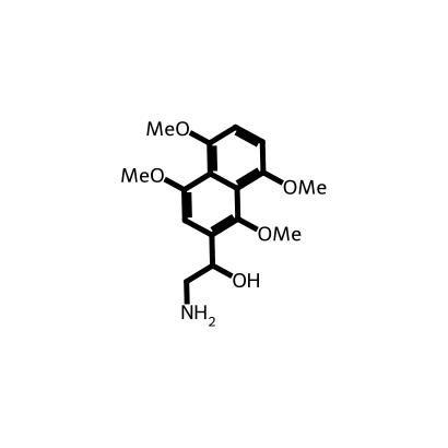 COc1ccc(OC)c2c(OC)c(C(O)CN)cc(OC)c12